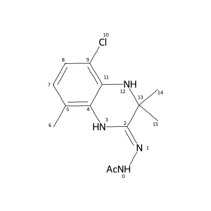 CC(=O)N/N=C1\Nc2c(C)ccc(Cl)c2NC1(C)C